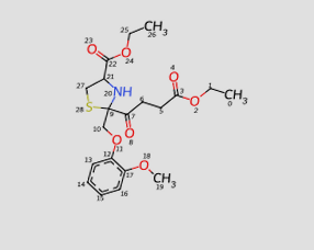 CCOC(=O)CCC(=O)C1(COc2ccccc2OC)NC(C(=O)OCC)CS1